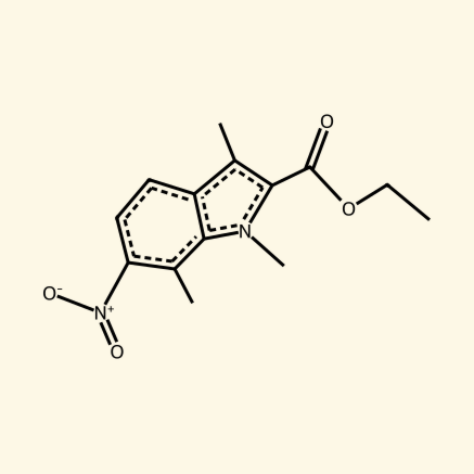 CCOC(=O)c1c(C)c2ccc([N+](=O)[O-])c(C)c2n1C